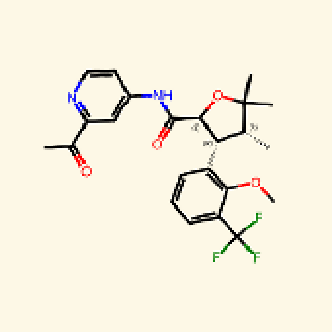 COc1c([C@@H]2[C@@H](C(=O)Nc3ccnc(C(C)=O)c3)OC(C)(C)[C@@H]2C)cccc1C(F)(F)F